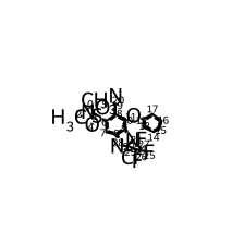 CN(C)S(=O)(=O)c1cc2c(c(Oc3ccccc3)c1C#N)=NC(Cl)(C(F)(F)F)N=2